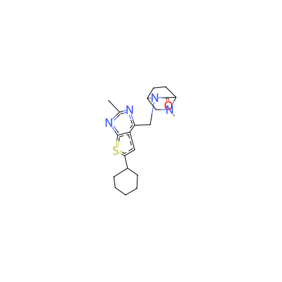 Cc1nc(CN2C(=O)C3CCC2CN3C)c2cc(C3CCCCC3)sc2n1